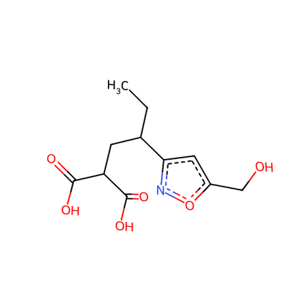 CCC(CC(C(=O)O)C(=O)O)c1cc(CO)on1